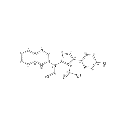 O=CN(c1cnc2ccccc2n1)c1scc(-c2ccc(Cl)cc2)c1C(=O)O